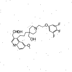 COc1ccc2ncc(CO)c([C@H](O)CCC3(CO)CCN(CCOc4cc(F)c(F)c(F)c4)CC3)c2c1